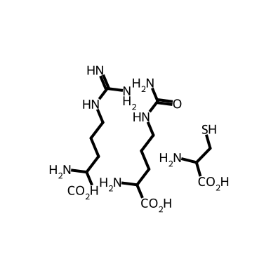 N=C(N)NCCCC(N)C(=O)O.NC(=O)NCCCC(N)C(=O)O.NC(CS)C(=O)O